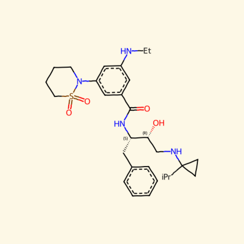 CCNc1cc(C(=O)N[C@@H](Cc2ccccc2)[C@H](O)CNC2(C(C)C)CC2)cc(N2CCCCS2(=O)=O)c1